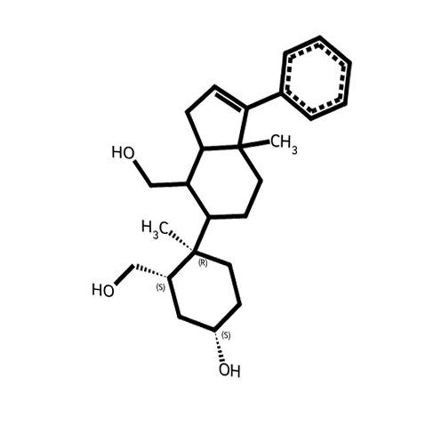 CC12CCC([C@@]3(C)CC[C@H](O)C[C@@H]3CO)C(CO)C1CC=C2c1ccccc1